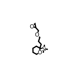 C[Si](C)(C)C1(CCCOCC2CO2)CCCCO1